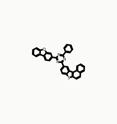 c1ccc(-c2nc(-c3ccc4c(c3)oc3ccccc34)nc(-c3ccc4sc5ccc6ccccc6c5c4c3)n2)cc1